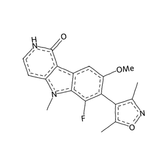 COc1cc2c3c(=O)[nH]ccc3n(C)c2c(F)c1-c1c(C)noc1C